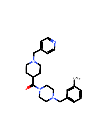 COc1cccc(CN2CCN(C(=O)C3CCN(Cc4ccncc4)CC3)CC2)c1